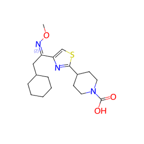 CO/N=C(/CC1CCCCC1)c1csc(C2CCN(C(=O)O)CC2)n1